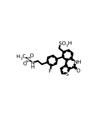 CS(=O)(=O)NCCc1ccc(-c2c(CS(=O)(=O)O)ccc3[nH]c(=O)c4sccc4c23)cc1F